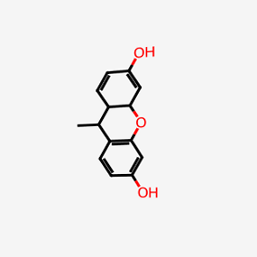 CC1c2ccc(O)cc2OC2C=C(O)C=CC21